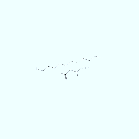 CCCCCCCCCC(Cl)CC(O)=S.SCCCCCCCCCCCl